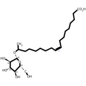 CC(CCCCCC/C=C\CCCCCCCC(=O)O)O[C@@H]1O[C@H](CO)[C@@H](O)[C@H](O)[C@H]1O